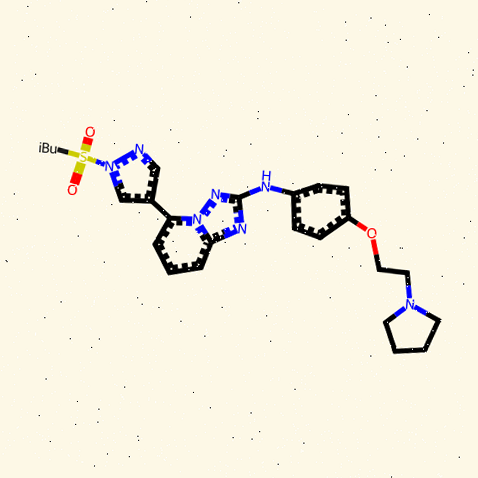 CCC(C)S(=O)(=O)n1cc(-c2cccc3nc(Nc4ccc(OCCN5CCCC5)cc4)nn23)cn1